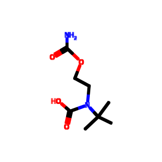 CC(C)(C)N(CCOC(N)=O)C(=O)O